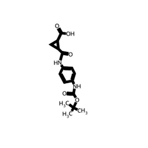 CC(C)(C)OC(=O)Nc1ccc(NC(=O)C2CC2C(=O)O)cc1